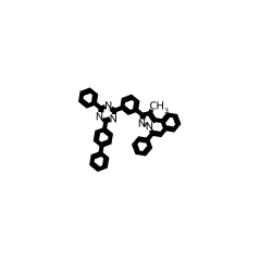 Cc1c(-c2cccc(-c3nc(-c4ccccc4)nc(-c4ccc(-c5ccccc5)cc4)n3)c2)nn2c(-c3ccccc3)cc3ccccc3c12